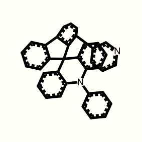 c1ccc(N2c3ccccc3C3(c4ccccc4-c4cccc(-c5cccnc5)c43)c3ccccc32)cc1